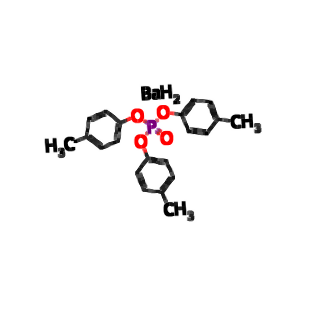 Cc1ccc(OP(=O)(Oc2ccc(C)cc2)Oc2ccc(C)cc2)cc1.[BaH2]